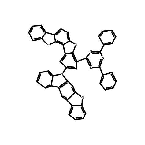 c1ccc(-c2nc(-c3ccccc3)nc(-c3cc(-n4c5ccccc5c5cc6c(cc54)oc4ccccc46)cc4c3sc3ccc5c6ccccc6oc5c34)n2)cc1